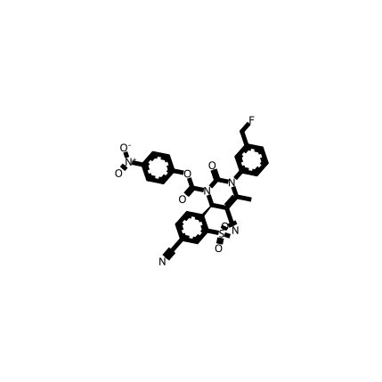 CC1=C(C#N)[C@@H](c2ccc(C#N)cc2S(C)(=O)=O)N(C(=O)Oc2ccc([N+](=O)[O-])cc2)C(=O)N1c1cccc(CF)c1